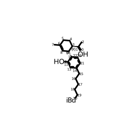 C=C(C)[C@@H]1CCC(C)=C[C@H]1c1c(O)cc(CCCCCC(C)CC)cc1O